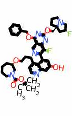 CC(C)(C)OC(=O)N1CCCC[C@@H](OCCCc2ccnc3cc(O)cc(-c4ncc5c(OCc6ccccc6)nc(OC[C@@]67CCCN6C[C@H](F)C7)nc5c4F)c23)C1